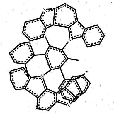 Cc1c(-c2ccccc2F)c(-n2c3ccccc3c3ccc4sc5ccccc5c4c32)c(-c2ccccc2F)c(C)c1-n1c2ccccc2c2ccc3sc4ccccc4c3c21